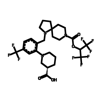 O=C(O)[C@H]1CCCN(c2cc(C(F)(F)F)ccc2CN2CCCC23CCN(C(=O)OC(C(F)(F)F)C(F)(F)F)CC3)C1